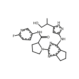 CC(CO)c1cc(Nc2nc(N3CCCC3C(=O)Nc3ccc(F)nc3)nc3c2CCC3)n[nH]1